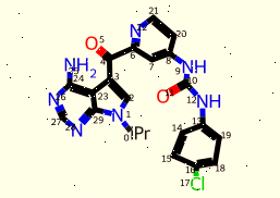 CC(C)n1cc(C(=O)c2cc(NC(=O)Nc3ccc(Cl)cc3)ccn2)c2c(N)ncnc21